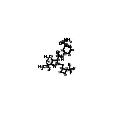 Cc1c(C(C)(F)F)nn(CC2CCC2C(F)(F)F)c1C(=O)Nc1ccnc(C(N)=O)c1